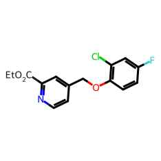 CCOC(=O)c1cc(COc2ccc(F)cc2Cl)ccn1